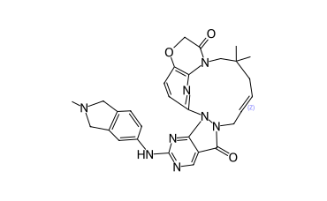 CN1Cc2ccc(Nc3ncc4c(=O)n5n(c4n3)-c3ccc4c(n3)N(CC(C)(C)C/C=C\C5)C(=O)CO4)cc2C1